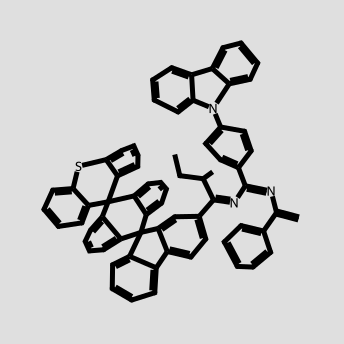 C=C(/N=C(\N=C(\c1ccc2c(c1)C1(c3ccccc3-2)c2ccccc2C2(c3ccccc3Sc3ccccc32)c2ccccc21)C(C)CC)c1ccc(-n2c3ccccc3c3ccccc32)cc1)c1ccccc1